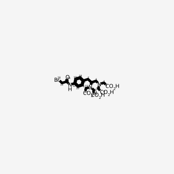 O=C(O)CN(CC(=O)O)CC(Cc1ccc(NC(=O)CBr)cc1)N(CC(=O)O)CC(=O)O